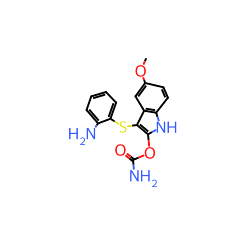 COc1ccc2[nH]c(OC(N)=O)c(Sc3ccccc3N)c2c1